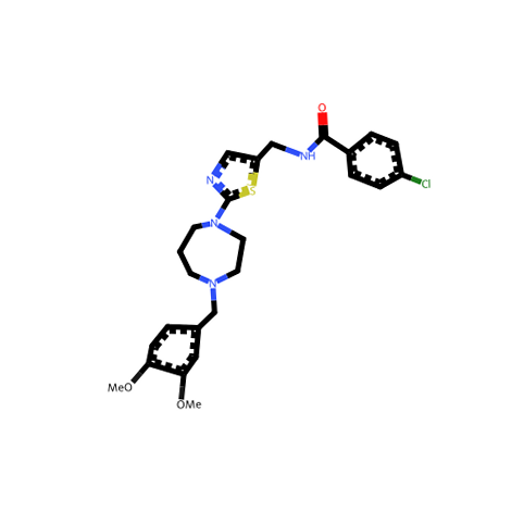 COc1ccc(CN2CCCN(c3ncc(CNC(=O)c4ccc(Cl)cc4)s3)CC2)cc1OC